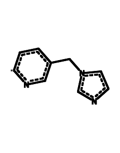 [c]1ccc(Cn2ccnc2)cn1